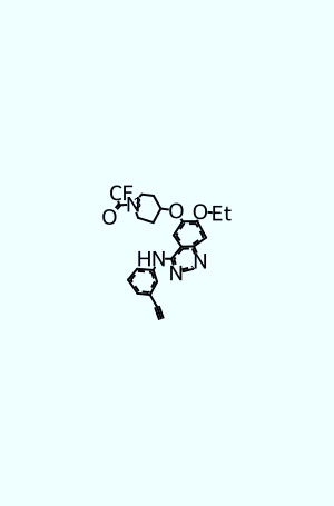 C#Cc1cccc(Nc2ncnc3cc(OCC)c(OC4CCN(C(=O)C(F)(F)F)CC4)cc23)c1